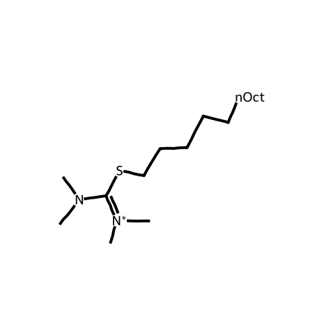 CCCCCCCCCCCCCSC(N(C)C)=[N+](C)C